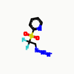 [N-]=[N+]=NCC(F)(F)S(=O)(=O)c1ccccn1